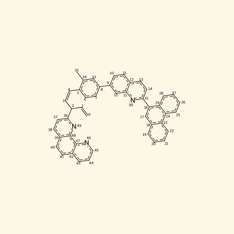 C=CC(/C=C\c1ccc(-c2ccc3ccc(-c4cc5ccccc5c5ccccc45)nc3c2)cc1C)c1ccc2ccc3cccnc3c2n1